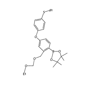 CCOCOCc1cc(Oc2ccc(SC(C)C)cc2)ccc1B1OC(C)(C)C(C)(C)O1